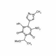 CCCn1c(-c2cnn(C)c2)c([N+](=O)[O-])c(=O)n(C(C)OC)c1=O